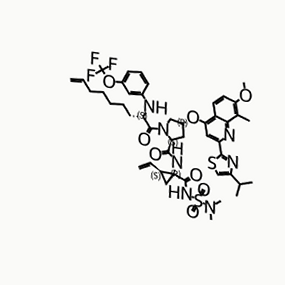 C=CCCCCC[C@H](Nc1cccc(OC(F)(F)F)c1)C(=O)N1C[C@H](Oc2cc(-c3nc(C(C)C)cs3)nc3c(C)c(OC)ccc23)C[C@H]1C(=O)N[C@]1(C(=O)NS(=O)(=O)N(C)C)C[C@H]1C=C